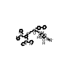 [N-]=[N+]=NC[C@H]1O[C@H](CC(=O)NCCC(=O)N(CCCCOc2cc(CN(Cc3ccccn3)Cc3ccccn3)cc(CN(Cc3ccccn3)Cc3ccccn3)c2)Cc2ccc(-c3ccccc3)cc2)[C@H](O)[C@@H]1O